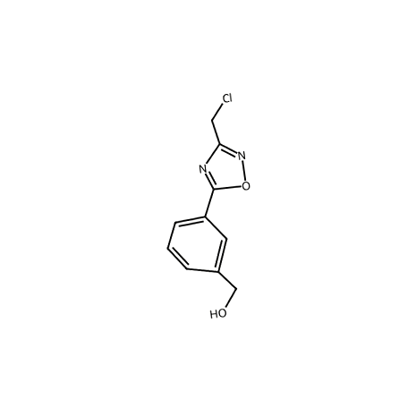 OCc1cccc(-c2nc(CCl)no2)c1